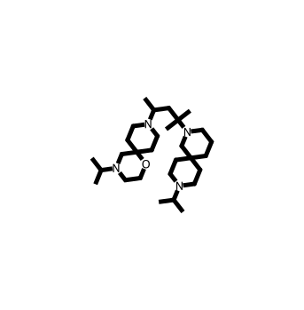 CC(C)N1CCC2(CCCN(C(C)(C)CC(C)N3CCC4(CC3)CN(C(C)C)CCO4)C2)CC1